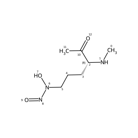 CN[C@H](CCCN(O)N=O)C(C)=O